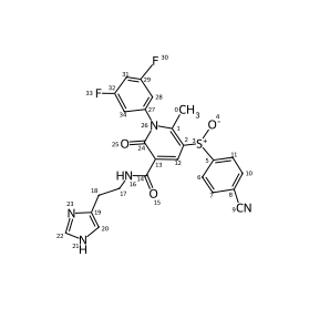 Cc1c([S+]([O-])c2ccc(C#N)cc2)cc(C(=O)NCCc2c[nH]cn2)c(=O)n1-c1cc(F)cc(F)c1